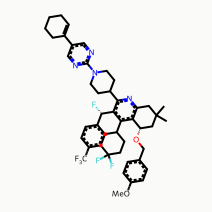 COc1ccc(CO[C@H]2CC(C)(C)Cc3nc(C4CCN(c5ncc(C6=CCCCC6)cn5)CC4)c([C@@H](F)c4ccc(C(F)(F)F)cc4)c(C4CCC(F)(F)CC4)c32)cc1